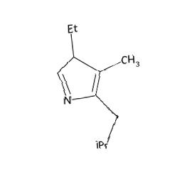 CCC1C=NC(CC(C)C)=C1C